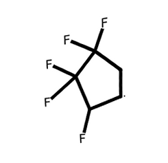 FC1[CH]CC(F)(F)C1(F)F